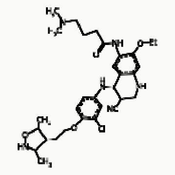 CCOc1cc2c(cc1NC(=O)CCCN(C)C)C(Nc1ccc(OCCC3C(C)NOC3C)c(Cl)c1)C(C#N)CN2